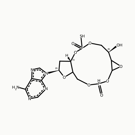 Nc1ncnc2c1ncn2[C@H]1C[C@@H]2OP(=O)(S)OC[C@@H](O)C3OC3O[PH](=O)OCC2O1